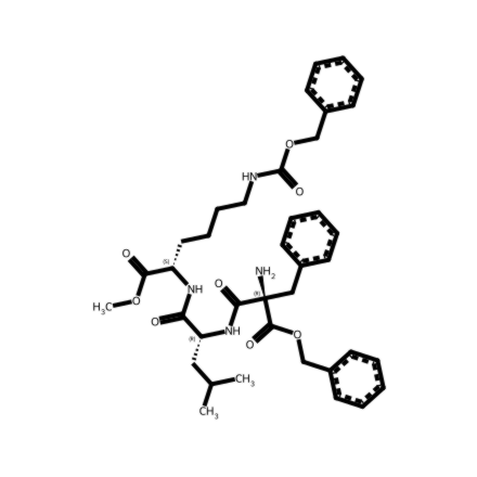 COC(=O)[C@H](CCCCNC(=O)OCc1ccccc1)NC(=O)[C@@H](CC(C)C)NC(=O)[C@](N)(Cc1ccccc1)C(=O)OCc1ccccc1